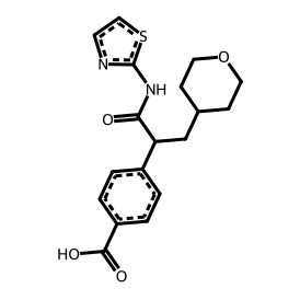 O=C(O)c1ccc(C(CC2CCOCC2)C(=O)Nc2nccs2)cc1